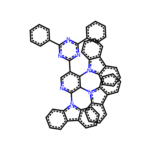 c1ccc(-c2nc(-c3ccccc3)nc(-c3cnc(-n4c5ccccc5c5ccccc54)c(-n4c5ccccc5c5ccccc54)c3-n3c4ccccc4c4ccccc43)n2)cc1